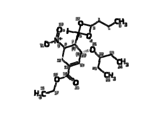 CCCC1OC(I)([C@@H]2C([N+](=O)[O-])CC(C(=O)OCC)=C[C@H]2OC(CC)CC)O1